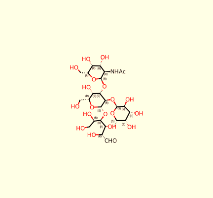 CC(=O)N[C@H]1[C@@H](O[C@H]2[C@@H](O)[C@@H](CO)O[C@@H](O[C@@H]([C@H](O)[C@@H](O)C=O)[C@H](O)CO)[C@@H]2O[C@@H]2O[C@@H](C)[C@@H](O)[C@@H](O)[C@@H]2O)O[C@H](CO)[C@H](O)[C@@H]1O